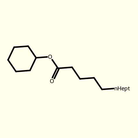 CCCCCCCCCCCC(=O)OC1CCCCC1